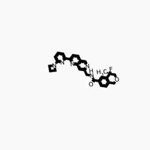 C[C@@]1(F)COCc2ccc(C(=O)NCc3cc4nc(-c5cccc(N6CCC6)n5)ccc4cn3)cc21